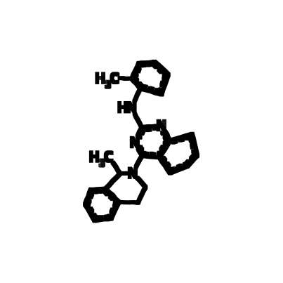 Cc1ccccc1Nc1nc(N2CCc3ccccc3C2C)c2ccccc2n1